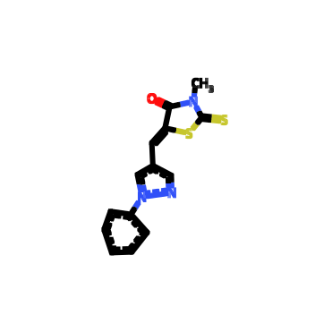 CN1C(=O)C(=Cc2cnn(-c3ccccc3)c2)SC1=S